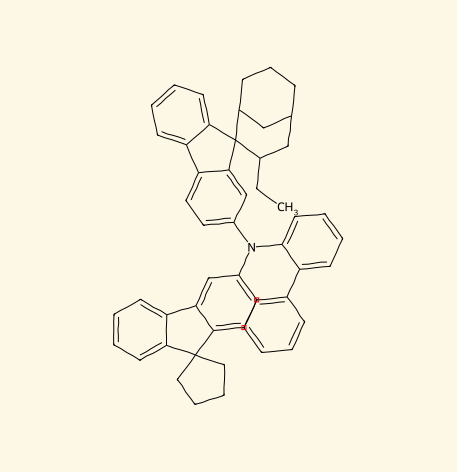 CCC1CC2CCCC(C2)C12c1ccccc1-c1ccc(N(c3ccc4c(c3)-c3ccccc3C43CCCC3)c3ccccc3-c3ccccc3)cc12